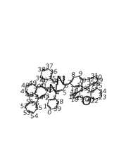 c1ccc(-c2cc(-c3ccc4c(c3)C3(c5ccccc5Oc5ccccc53)c3ccccc3-4)nc(-c3ccccc3-c3ccc4c5c(cccc35)-c3ccccc3-4)n2)cc1